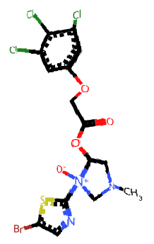 CN1CC(OC(=O)COc2cc(Cl)c(Cl)c(Cl)c2)[N+]([O-])(c2ncc(Br)s2)C1